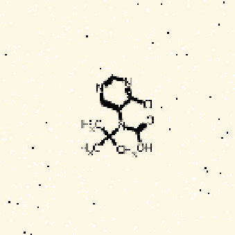 CC(C)(C)N(C(=O)O)c1cncnc1Cl